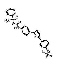 CC(C)(OC(=O)Nc1ccc(-c2ncn(-c3ccc(OC(F)(F)F)cc3)n2)cc1)c1ccccc1